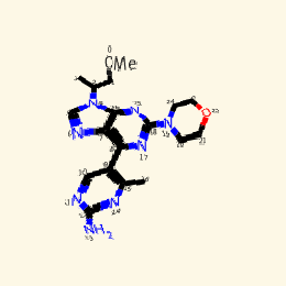 COCC(C)n1cnc2c(-c3cnc(N)nc3C)nc(N3CCOCC3)nc21